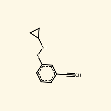 C#Cc1cccc(SNC2CC2)c1